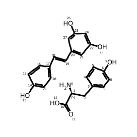 N[C@@H](Cc1ccc(O)cc1)C(=O)O.Oc1ccc(C=Cc2cc(O)cc(O)c2)cc1